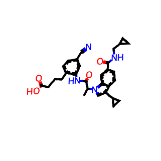 CC(C(=O)Nc1cc(C#N)ccc1CCCC(=O)O)n1cc(C2CC2)c2ccc(C(=O)NCC3CC3)cc21